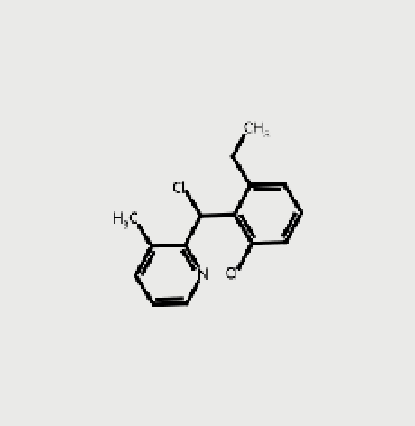 CCc1cccc(Cl)c1C(Cl)c1ncccc1C